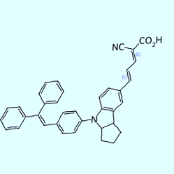 N#C/C(=C\C=C\c1ccc2c(c1)C1CCCC1N2c1ccc(C=C(c2ccccc2)c2ccccc2)cc1)C(=O)O